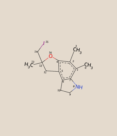 Cc1c(C)c2c(c3c1NCC3)CC(C)(CI)O2